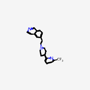 FC(F)(F)c1cccc(C2CCN(CCc3ccc4cnccc4c3)CC2)n1